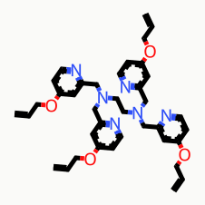 C=CCOc1ccnc(CN(CCN(Cc2cc(OCC=C)ccn2)Cc2cc(OCC=C)ccn2)Cc2cc(OCC=C)ccn2)c1